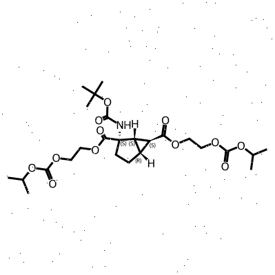 CC(C)OC(=O)OCCOC(=O)[C@H]1[C@@H]2CC[C@@](NC(=O)OC(C)(C)C)(C(=O)OCCOC(=O)OC(C)C)[C@@H]21